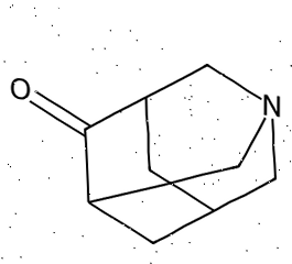 O=C1C2CC3CC1CN(C3)C2